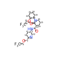 O=C(Nc1ccc(COCC(F)(F)F)nc1)c1cccn(-c2ccccc2OCC(F)(F)F)c1=O